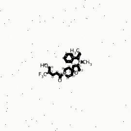 CC=C(c1ccccc1)N(C)C1COC2(CCN(C(=O)CC[C@H](CO)C(F)(F)F)CC2)C1